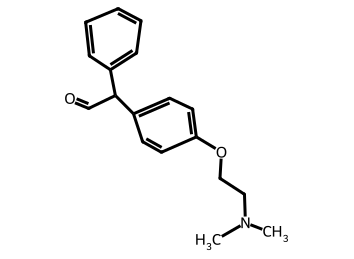 CN(C)CCOc1ccc(C(C=O)c2ccccc2)cc1